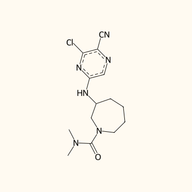 CN(C)C(=O)N1CCCCC(Nc2cnc(C#N)c(Cl)n2)C1